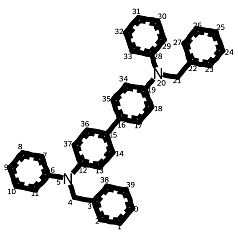 c1ccc(CN(c2ccccc2)c2ccc(-c3ccc(N(Cc4ccccc4)c4ccccc4)cc3)cc2)cc1